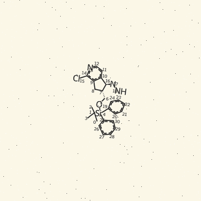 CC(C)(C)[Si](OC[C@@H]1Cc2c(ccnc2Cl)[C@H]1N=N)(c1ccccc1)c1ccccc1